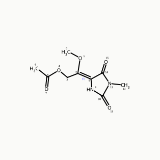 CO/C(COC(C)=O)=C1/NC(=O)N(C)C1=O